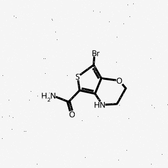 NC(=O)c1sc(Br)c2c1NCCO2